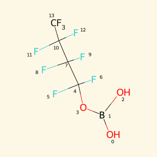 OB(O)OC(F)(F)C(F)(F)C(F)(F)C(F)(F)F